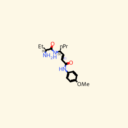 CCC[C@@H](/C=C/C(=O)Nc1ccc(OC)cc1)NC(=O)[C@@H](N)CC